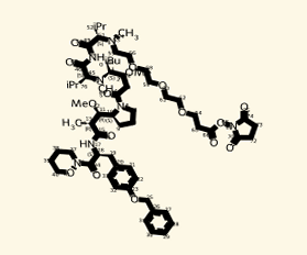 CC[C@H](C)[C@@H]([C@@H](CC(=O)N1CCC[C@H]1[C@H](OC)[C@@H](C)C(=O)N[C@@H](Cc1ccc(OCc2ccccc2)cc1)C(=O)N1CCCCO1)OC)N(C)[C@H](C(=O)NC(=O)[C@H](C(C)C)N(C)CCOCCOCCOCCC(=O)ON1C(=O)CCC1=O)C(C)C